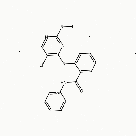 O=C(Nc1ccccc1)c1ccccc1Nc1nc(NI)ncc1Cl